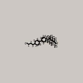 CCCCC1CC=C(C2=CCC(OC(F)(F)C(F)(F)C(F)(F)CF)C=C2)CC1